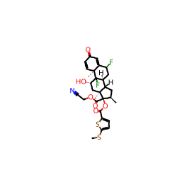 CSc1ccc(C(=O)O[C@]2(C(=O)OCC#N)[C@H](C)C[C@H]3[C@@H]4C[C@H](F)C5=CC(=O)C=C[C@]5(C)C4(F)[C@@H](O)C[C@@]32C)s1